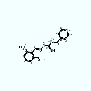 Cc1cccc(C)c1C=NNC(=N)NCc1ccncc1